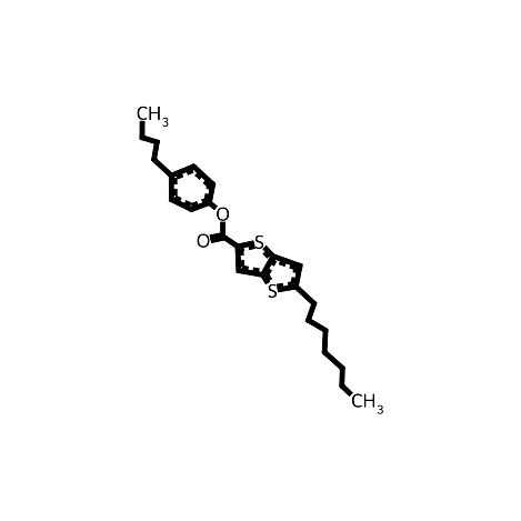 CCCCCCCc1cc2sc(C(=O)Oc3ccc(CCCC)cc3)cc2s1